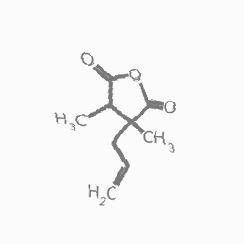 C=CCC1(C)C(=O)OC(=O)C1C